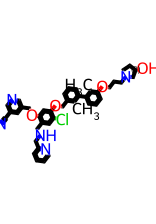 Cc1c(COc2cc(OCc3cncc(C#N)c3)c(CNCc3ccccn3)cc2Cl)cccc1-c1cccc(OCCCN2CC[C@@H](O)C2)c1C